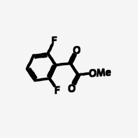 COC(=O)C(=O)c1c(F)cccc1F